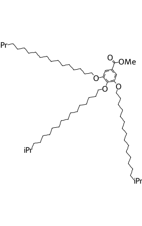 COC(=O)c1cc(OCCCCCCCCCCCCCCCC(C)C)c(OCCCCCCCCCCCCCCCC(C)C)c(OCCCCCCCCCCCCCCCC(C)C)c1